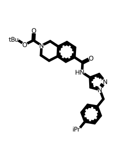 CC(C)c1ccc(Cn2cc(NC(=O)c3ccc4c(c3)CCN(C(=O)OC(C)(C)C)C4)cn2)cc1